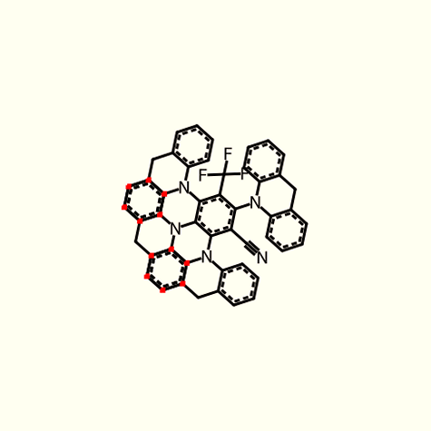 N#Cc1c(N2c3ccccc3Cc3ccccc32)c(N2c3ccccc3Cc3ccccc32)c(N2c3ccccc3Cc3ccccc32)c(C(F)(F)F)c1N1c2ccccc2Cc2ccccc21